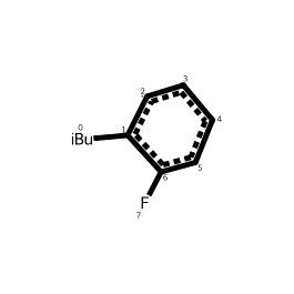 CCC(C)c1[c]cccc1F